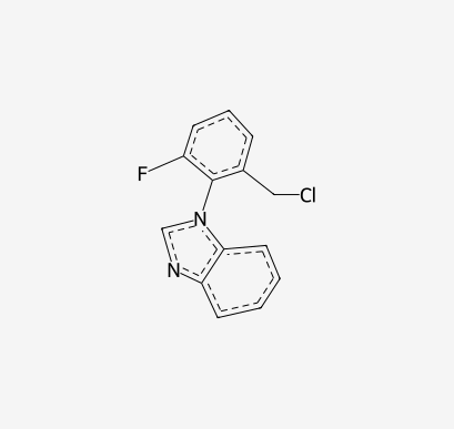 Fc1cccc(CCl)c1-n1cnc2ccccc21